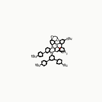 CC1=CC2=C3B(c4ccc(-c5ccc(C(C)(C)C)cc5)cc4N2c2cc(-c4ccc(C(C)(C)C)cc4)cc(-c4ccc(C(C)(C)C)cc4)c2)c2ccc4c(c2N(c2ccc(C(C)(C)C)cc2-c2ccccc2)C3C1)OCCO4